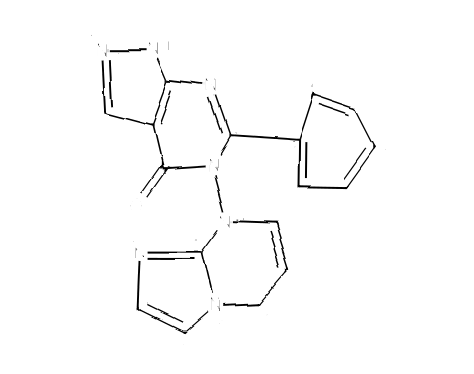 O=c1c2cn[nH]c2nc(-c2ccccc2)n1N1C=CCn2ccnc21